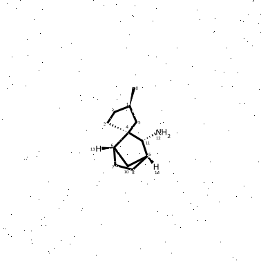 C[C@@H]1CC[C@@]2(C1)[C@H]1CC[C@H](C1)[C@H]2N